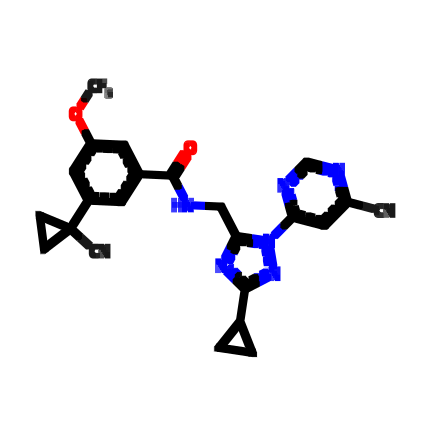 N#Cc1cc(-n2nc(C3CC3)nc2CNC(=O)c2cc(OC(F)(F)F)cc(C3(C#N)CC3)c2)ncn1